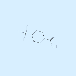 NC(=S)[C@H]1CC[C@H](C(F)(F)F)CC1